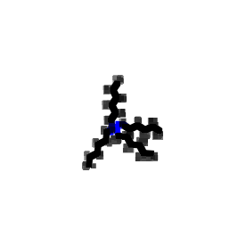 [CH2]CCCCC[N+](CCCCCC)(CCCCCC)CCCCCC